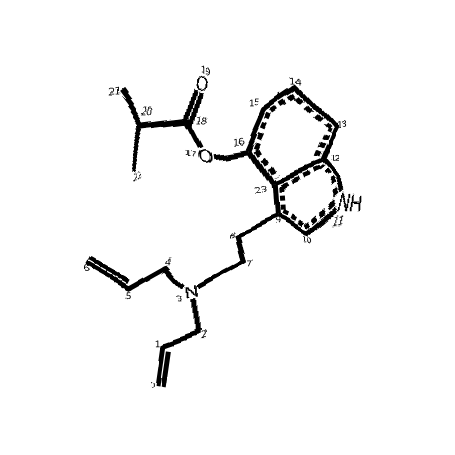 C=CCN(CC=C)CCc1c[nH]c2cccc(OC(=O)C(C)C)c12